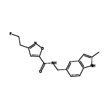 Cc1cc2cc(CNC(=O)c3cc(CCF)no3)ccc2[nH]1